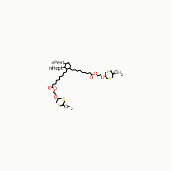 C=C1CSCC(OCCOC(=O)CCCCCCCCC2CCC(CCCCC)C(CCCCCCC)C2CCCCCCCCC(=O)OCCOC2CSCC(=C)CSC2)CSC1